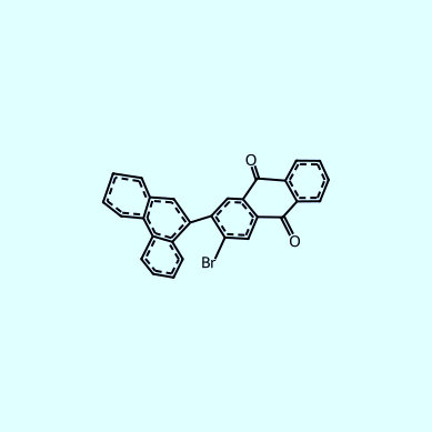 O=C1c2ccccc2C(=O)c2cc(-c3cc4ccccc4c4ccccc34)c(Br)cc21